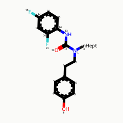 CCCCCCCN(CCc1ccc(O)cc1)C(=O)Nc1ccc(F)cc1F